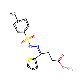 COC(=O)CCC(=NNS(=O)(=O)c1ccc(C)cc1)c1cccs1